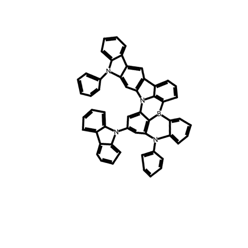 c1ccc(N2c3ccccc3B3c4c2cc(-n2c5ccccc5c5ccccc52)cc4-n2c4cc5c(cc4c4cccc3c42)c2ccccc2n5-c2ccccc2)cc1